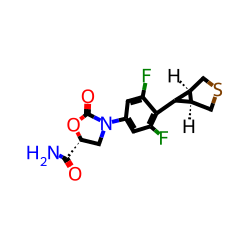 NC(=O)[C@H]1CN(c2cc(F)c(C3[C@H]4CSC[C@@H]34)c(F)c2)C(=O)O1